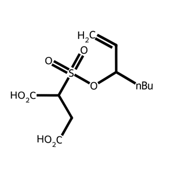 C=CC(CCCC)OS(=O)(=O)C(CC(=O)O)C(=O)O